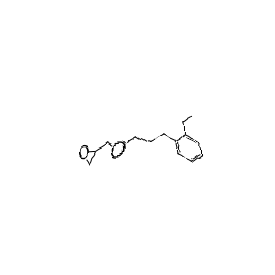 CCc1ccccc1CCCOCC1CO1